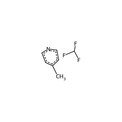 Cc1ccncc1.FC(F)F